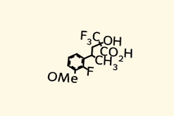 COc1cccc(C(C)CC(O)(C(=O)O)C(F)(F)F)c1F